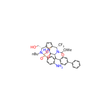 CCCCN([C@H](CO)c1ccc([C@@H](N(C(=O)OC)[C@@H](Cc2ccc(-c3ccccc3)cc2)C(N)=O)C(F)(F)F)s1)S(=O)(=O)c1ccc(N)cc1